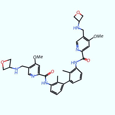 COc1cc(C(=O)Nc2cccc(-c3cccc(NC(=O)c4cc(OC)c(CNC5COC5)cn4)c3C)c2C)ncc1CNC1COC1